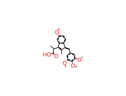 COc1ccc2c(c1)C(C(C)C(=O)O)=C(C)C2=Cc1cc(OC)c(OC)c(OC)c1